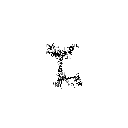 CC[C@H](C)[C@@H]([C@@H](CC(=O)N1C[C@@H](OC(=O)OCc2ccc(NC(=O)[C@H](CCCNC(N)=O)NC(=O)[C@@H](NC(=O)CCCCCN3C(=O)CC(SCC4(CC(=O)O)CC4)C3=O)C(C)C)cc2)C[C@H]1[C@H](OC)[C@@H](C)C(=O)NCC(=O)c1ccc(C)cc1C)OC)N(C)C(=O)[C@@H](NC(=O)[C@H](C(C)C)N(C)C)C(C)C